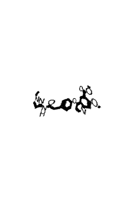 CCn1ccc(NC(=O)Cc2ccc(Oc3ccnc4cc(OC)c(C(=O)OC)cc34)cc2)n1